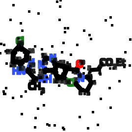 CCOC(=O)CC[C@@H]1CCCCN1C(=O)c1cc2ncnc(N[C@@H](C)c3nc4cc(Cl)ccc4[nH]3)c2cc1Cl